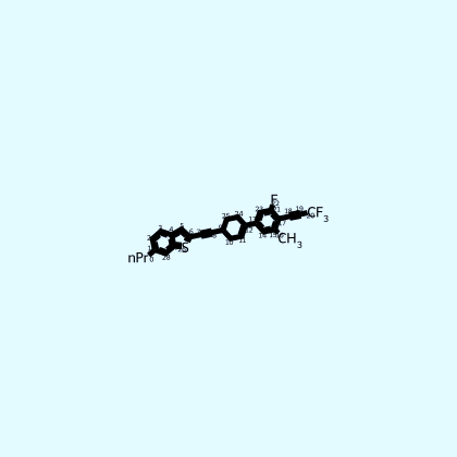 CCCc1ccc2cc(C#CC3CC=C(c4cc(C)c(C#CC(F)(F)F)c(F)c4)CC3)sc2c1